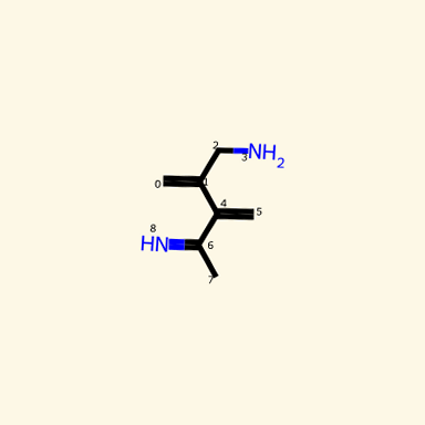 C=C(CN)C(=C)C(C)=N